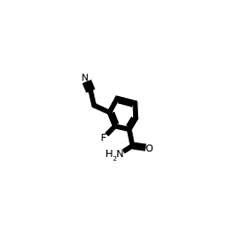 N#CCc1cccc(C(N)=O)c1F